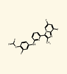 Cc1nc2c(F)cc(F)cn2c1-c1cccc(Nc2ccc(OC(F)F)c(F)c2)n1